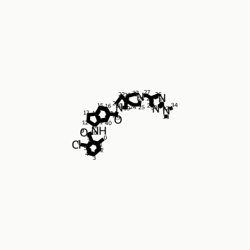 Cc1cccc(Cl)c1C(=O)NC1CCc2ccc(C(=O)N3CCC4(CCN(Cc5cnc(N(C)C)nc5)CC4)C3)cc21